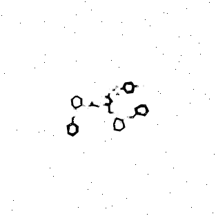 O=C(Cn1nc(NS(=O)(=O)c2ccc(O)cc2)cc1C(=O)N[C@H]1CCCC[C@@H]1OCc1ccccc1)N[C@H]1CCCC[C@@H]1OCc1ccccc1